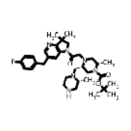 C[C@@H]1CNCCN1C[C@H]1CN(C(=O)OC(C)(C)C)[C@@H](C)CN1CC(=O)N1CC(C)(C)c2ncc(Cc3ccc(F)cc3)cc21